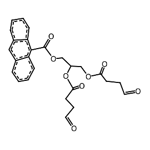 O=CCCC(=O)OCC(COC(=O)c1c2ccccc2cc2ccccc12)OC(=O)CCC=O